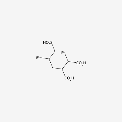 CC(C)C(CC(C(=O)O)C(C(=O)O)C(C)C)CS(=O)(=O)O